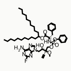 C#C[C@](COP(=O)(N[C@@H](Cc1ccccc1)C(=O)OC(CCCCCCCCCC)CCCCCCCCCC)Oc1ccccc1)(OC)[C@@H](O)Cn1cnc2c(N)nc(F)nc21